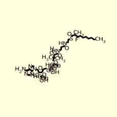 CCCCCCC[C@@H](F)[C@H](C)C(=O)SCCNC(=O)CCNC(=O)C(O)C(C)(C)COP(=O)(O)OP(=O)(O)OCC1OC(n2cnc3c(N)ncnc32)C(O)C1OP(=O)(O)O